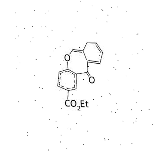 CCOC(=O)c1ccc2c(c1)C(=O)C1=CC=CCC1=CO2